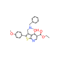 CCOC(=O)c1cnc2sc(-c3ccc(OC)cc3)c(CN(C)Cc3ccccc3)c2c1O